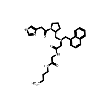 O=C(O)CCCNC(=O)CNC(=O)CN(Cc1cccc2ccccc12)C[C@@H]1CCCN1C(=O)Cc1c[nH]cn1